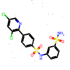 NS(=O)(=O)c1cccc(NS(=O)(=O)c2ccc(-c3ncc(Cl)cc3Cl)cc2)c1